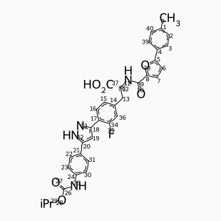 Cc1ccc(-c2ccc(C(=O)N[C@H](Cc3ccc(-c4cc(-c5ccc(NC(=O)OC(C)C)cc5)[nH]n4)c(F)c3)C(=O)O)o2)cc1